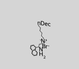 CCCCCCCCCCCCCCCC[N+](C)(C)CCC(N)c1cccc2ccccc12.[Br-]